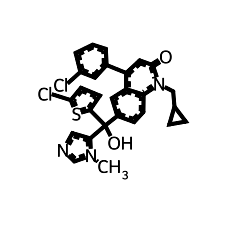 Cn1cncc1C(O)(c1ccc2c(c1)c(-c1cccc(Cl)c1)cc(=O)n2CC1CC1)c1ccc(Cl)s1